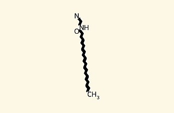 CCC=CCC=CCC=CCC=CCC=CCC=CCCC(=O)NCCC#N